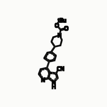 CC(C)(C)OC(=O)N1CCC(c2ccc(-c3ccnc4[nH]cc(C#N)c34)cc2)CC1